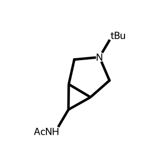 CC(=O)NC1C2CN(C(C)(C)C)CC21